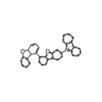 C1=CC2Oc3ccccc3C2C(c2cccc3c2oc2cc(-n4c5ccccc5c5ccccc54)ccc23)=C1